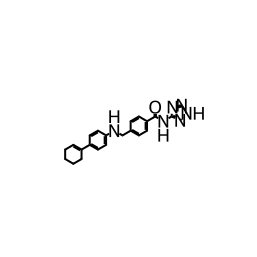 O=C(Nc1nn[nH]n1)c1ccc(CNc2ccc(C3=CCCCC3)cc2)cc1